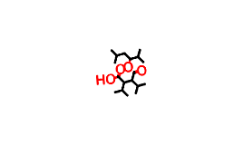 CC(C)CC(OC(=O)C(C(C)C)C(C(=O)O)C(C)C)C(C)C